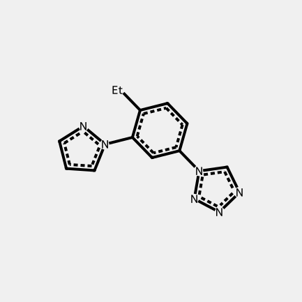 CCc1ccc(-n2cnnn2)cc1-n1cccn1